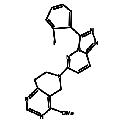 COc1ncnc2c1CN(c1ccc3nnc(-c4ccccc4F)n3n1)CC2